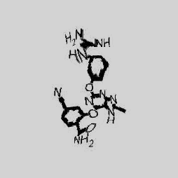 Cc1nc2nc(Oc3cccc(NC(=N)N)c3)nc(Oc3cc(C#N)ccc3C(N)=O)c2[nH]1